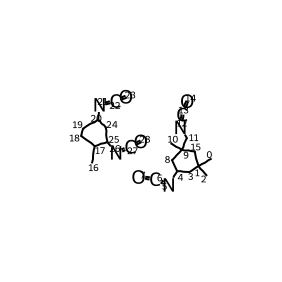 CC1(C)CC(N=C=O)CC(C)(CN=C=O)C1.CC1CCC(N=C=O)CC1N=C=O